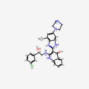 Cc1cc(N2CCNCC2)cc2[nH]c(-c3c(NC[C@@H](O)c4cccc(Cl)c4)[nH]c4ccccc4c3=O)nc12